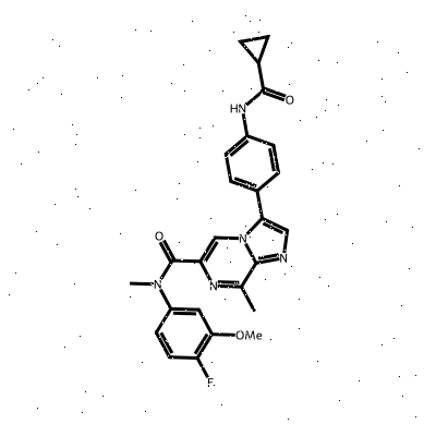 COc1cc(N(C)C(=O)c2cn3c(-c4ccc(NC(=O)C5CC5)cc4)cnc3c(C)n2)ccc1F